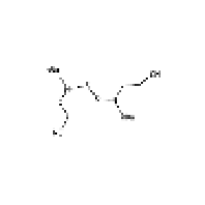 CCCCN(CCC#N)SSN(CCC#N)CCCC